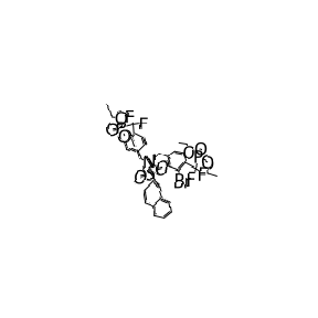 CCOP(=O)(OCC)C(F)(F)c1ccc(CN(Cc2ccc(C(F)(F)P(=O)(OCC)OCC)c(Br)c2)S(=O)(=O)c2ccc3ccccc3c2)cc1